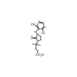 CCOC(=O)CCC(C)(C)N1CCC(Cc2c(Cl)cccc2Cl)C1=O